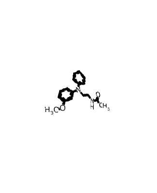 COc1cccc(N(CCNC(C)=O)c2ccccc2)c1